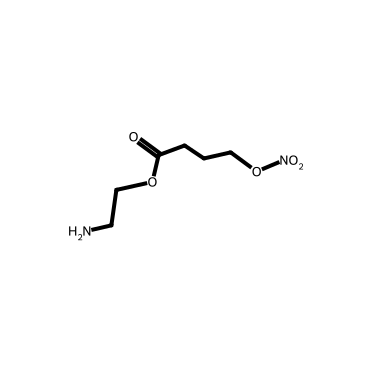 NCCOC(=O)CCCO[N+](=O)[O-]